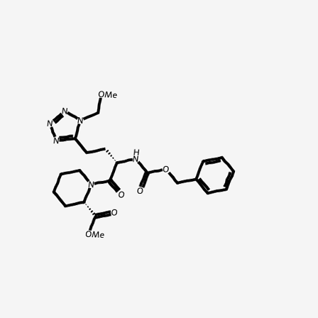 COCn1nnnc1CC[C@H](NC(=O)OCc1ccccc1)C(=O)N1CCCC[C@H]1C(=O)OC